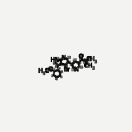 COc1ccccc1-c1c[nH]c2ncc(-c3cncc(C(=O)N(C)C)c3)c(Br)c12